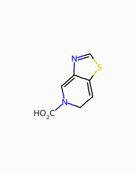 O=C(O)N1C=c2ncsc2=CC1